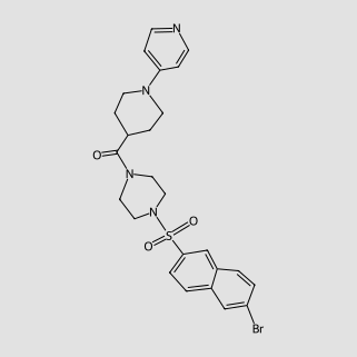 O=C(C1CCN(c2ccncc2)CC1)N1CCN(S(=O)(=O)c2ccc3cc(Br)ccc3c2)CC1